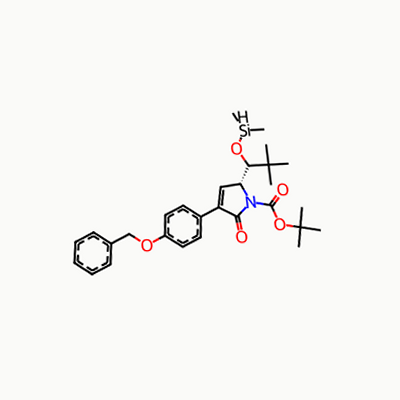 C[SiH](C)OC([C@H]1C=C(c2ccc(OCc3ccccc3)cc2)C(=O)N1C(=O)OC(C)(C)C)C(C)(C)C